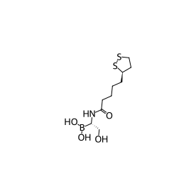 O=C(CCCC[C@@H]1CCSS1)N[C@H](CO)B(O)O